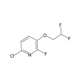 Fc1nc(Cl)ccc1OCC(F)F